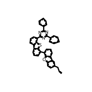 C=CCc1ccc2oc3c(-c4cccc5c4sc4c(-c6nc(-c7ccccc7)nc(-c7ccccc7)n6)cccc45)cccc3c2c1